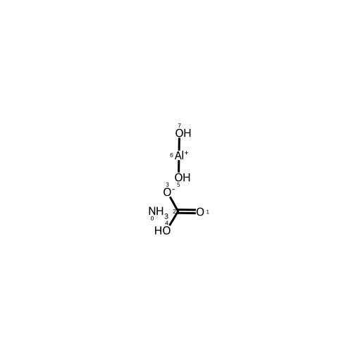 N.O=C([O-])O.[OH][Al+][OH]